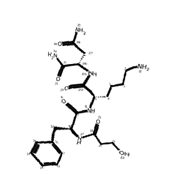 NCCCC[C@H](NC(=O)[C@H](Cc1ccccc1)NC(=O)CCO)C(=O)N[C@@H](CC(N)=O)C(N)=O